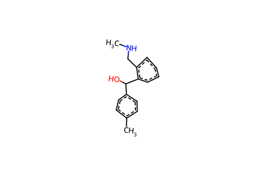 CNCc1ccccc1C(O)c1ccc(C)cc1